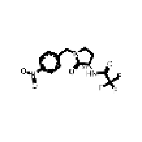 O=C1[C@@H](NC(=O)C(F)(F)F)CCN1Cc1ccc([N+](=O)[O-])cc1